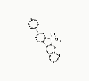 CC1(C)c2cc(-c3ccncc3)ccc2-c2cc3cccnc3cc21